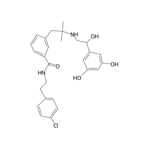 CC(C)(Cc1cccc(C(=O)NCCc2ccc(Cl)cc2)c1)NCC(O)c1cc(O)cc(O)c1